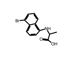 CC(Nc1cccc2c(Br)cccc12)C(=O)O